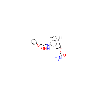 CS(=O)(=O)O.NC(=O)COc1ccc2c(c1)CC(NC[C@H](O)COc1ccccc1)CCC2